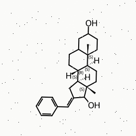 C[C@]12CCC(O)CC1CC[C@@H]1[C@@H]2CC[C@]2(C)C(O)C(=Cc3ccccc3)C[C@@H]12